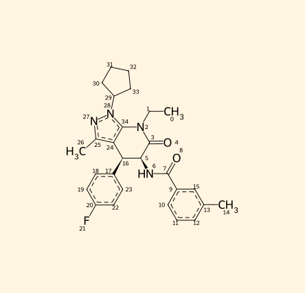 CCN1C(=O)[C@@H](NC(=O)c2cccc(C)c2)[C@@H](c2ccc(F)cc2)c2c(C)nn(C3CCCC3)c21